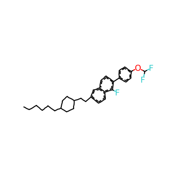 CCCCCCC1CCC(CCc2ccc3c(F)c(-c4ccc(OC(F)F)cc4)ccc3c2)CC1